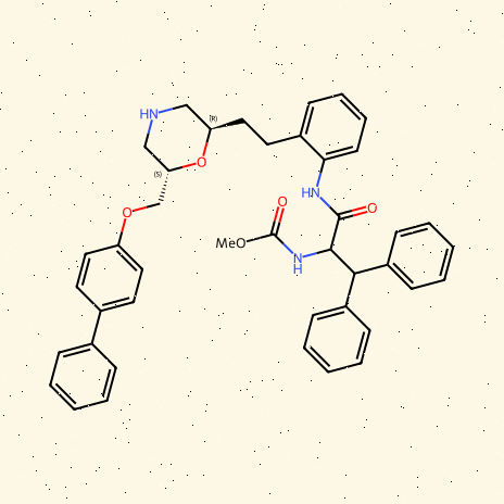 COC(=O)NC(C(=O)Nc1ccccc1CC[C@@H]1CNC[C@@H](COc2ccc(-c3ccccc3)cc2)O1)C(c1ccccc1)c1ccccc1